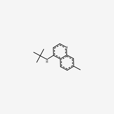 Cc1ccc2c(NC(C)(C)C)ccnc2c1